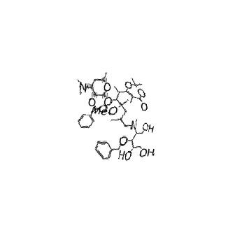 COC(C)(CC(C)CN(C)C(CO)C(OCc1ccccc1)C(O)CO)C(O[C@@H]1O[C@H](C)C[C@H](N(C)C)[C@H]1OC(=O)c1ccccc1)C(C)C1=C(C)C(=O)OC(C)(C)O1